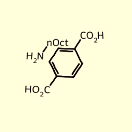 CCCCCCCCN.O=C(O)c1ccc(C(=O)O)cc1